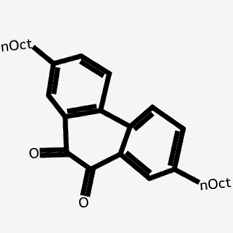 CCCCCCCCc1ccc2c(c1)C(=O)C(=O)c1cc(CCCCCCCC)ccc1-2